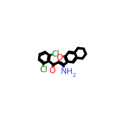 Nc1c(C(=O)c2c(Cl)cccc2Cl)oc2cc3c(cc12)CCCC3